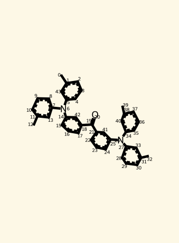 Cc1cccc(N(c2cccc(C)c2)c2cccc(C(=O)c3cccc(N(c4cccc(C)c4)c4cccc(C)c4)c3)c2)c1